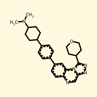 CN(C)C1CCC(c2ccc(-c3ccc4ncc5nnc(C6CCOCC6)n5c4c3)cc2)CC1